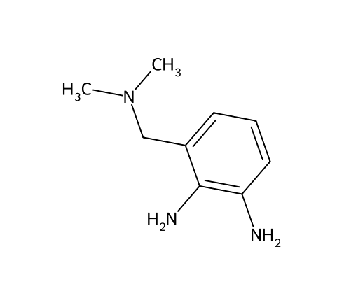 CN(C)Cc1cccc(N)c1N